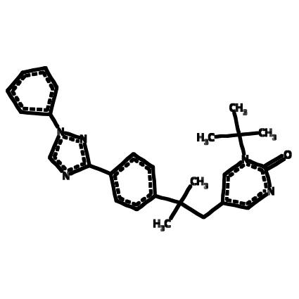 CC(C)(Cc1cnc(=O)n(C(C)(C)C)c1)c1ccc(-c2ncn(-c3ccccc3)n2)cc1